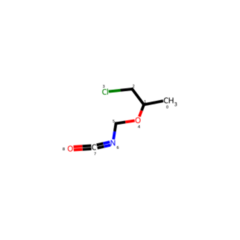 CC(CCl)OCN=C=O